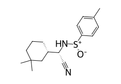 Cc1ccc([S@+]([O-])N[C@H](C#N)[C@H]2CCCC(C)(C)C2)cc1